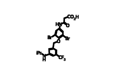 CC(C)Nc1cc(COc2c(Br)cc(NC(=O)CC(=O)O)cc2Br)cc(C(F)(F)F)c1